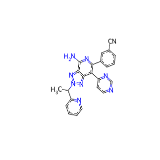 CC(c1ccccn1)n1nc2c(N)nc(-c3cccc(C#N)c3)c(-c3ccncn3)c2n1